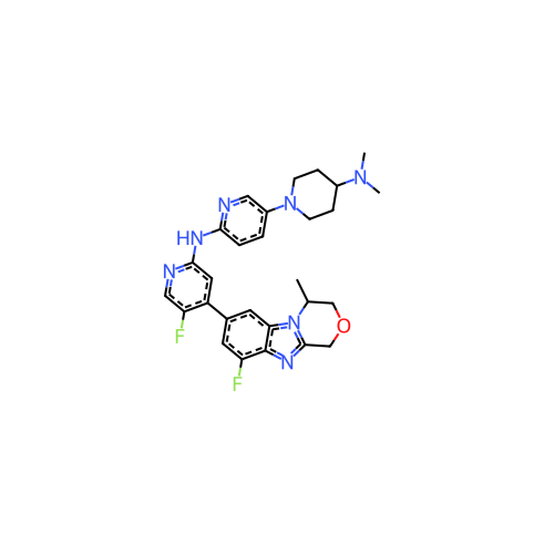 CC1COCc2nc3c(F)cc(-c4cc(Nc5ccc(N6CCC(N(C)C)CC6)cn5)ncc4F)cc3n21